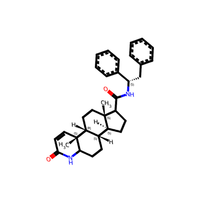 C[C@]12C=CC(=O)NC1CC[C@@H]1[C@H]2CC[C@]2(C)C(C(=O)N[C@@H](Cc3ccccc3)c3ccccc3)CC[C@@H]12